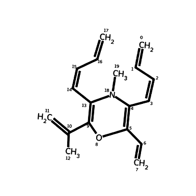 C=C/C=C\C1=C(C=C)OC(C(=C)C)=C(/C=C\C=C)N1C